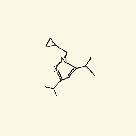 CC(C)c1cc(C(C)C)n(CC2CC2)n1